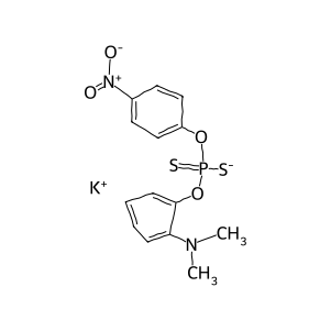 CN(C)c1ccccc1OP(=S)([S-])Oc1ccc([N+](=O)[O-])cc1.[K+]